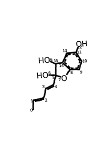 CC=CC=CC1(O)Oc2ccc(O)cc2C1O